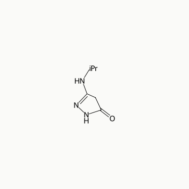 CC(C)NC1=NNC(=O)C1